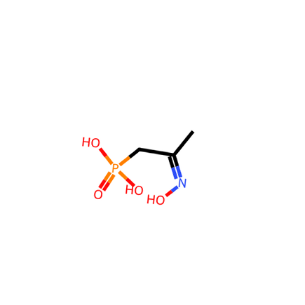 CC(CP(=O)(O)O)=NO